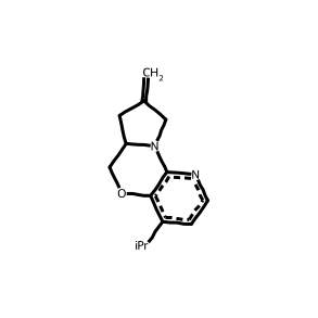 C=C1CC2COc3c(C(C)C)ccnc3N2C1